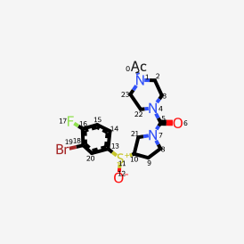 CC(=O)N1CCN(C(=O)N2CCC([S+]([O-])c3ccc(F)c(Br)c3)C2)CC1